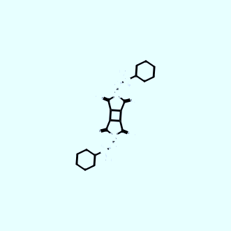 O=C1C2C(C(=O)N1OS(=O)(=O)C1CCCCC1)C1C(=O)N(OS(=O)(=O)C3CCCCC3)C(=O)C21